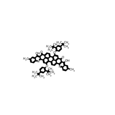 Cc1ccc2nc3c(c(O)c2c1)C(=O)c1cc(Oc2ccc(C(C)(C)C)cc2C(C)(C)C)c2c4ccc5c6c(cc(Oc7ccc(C(C)(C)C)cc7C(C)(C)C)c(c7ccc-3c1c72)c64)-c1nc2ccc(C)cc2c(O)c1C5=O